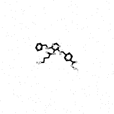 CCCCC(=O)Nc1c(NCc2ccccc2)ncnc1NCc1ccc(C(=O)OC)cc1